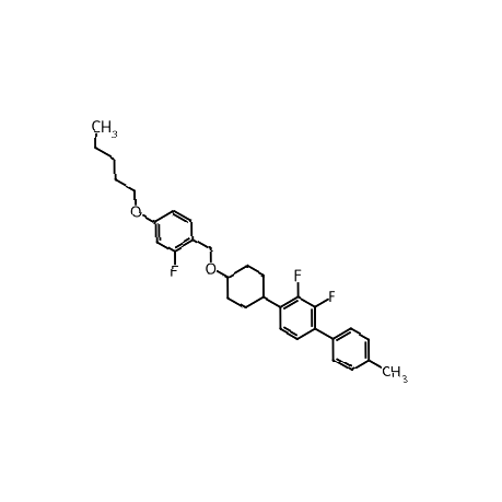 CCCCCOc1ccc(COC2CCC(c3ccc(-c4ccc(C)cc4)c(F)c3F)CC2)c(F)c1